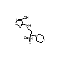 O=[SH](=O)N(CCNc1nonc1O)N1CCOCC1